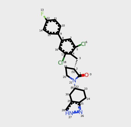 O=C1[C@@H](Cc2c(Cl)cc(-c3ccc(F)cc3)cc2Cl)CCN1[C@@H]1CCc2n[nH]cc2C1